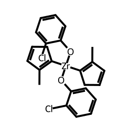 CC1=[C]([Zr]([O]c2ccccc2Cl)([O]c2ccccc2Cl)[C]2=C(C)C=CC2)CC=C1